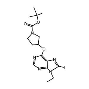 CCn1c(I)nc2c(OC3CCN(C(=O)OC(C)(C)C)C3)ncnc21